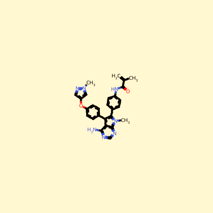 C=C(C)C(=O)Nc1ccc(-c2c(-c3ccc(Oc4cnn(C)c4)cc3)c3c(N)ncnc3n2C)cc1